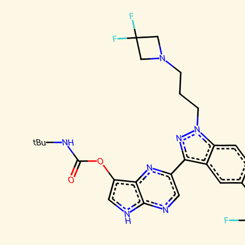 CC(C)(C)NC(=O)Oc1c[nH]c2ncc(-c3nn(CCCN4CC(F)(F)C4)c4ccc(OC(F)F)cc34)nc12